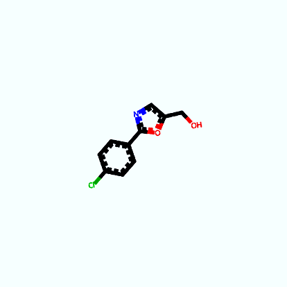 OCc1cnc(-c2ccc(Cl)cc2)o1